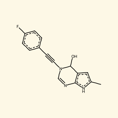 Cc1cc2c([nH]1)N=CN(C#Cc1ccc(F)cc1)C2O